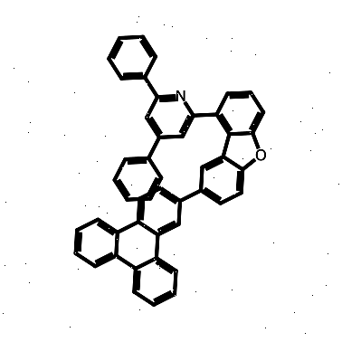 c1ccc(-c2cc(-c3ccccc3)nc(-c3cccc4oc5ccc(-c6ccc7c8ccccc8c8ccccc8c7c6)cc5c34)c2)cc1